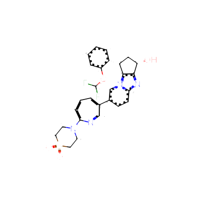 O=S1(=O)CCN(C2=C=CC=C(c3ccc4nc5c(n4c3)[C@H](c3ccccc3OC(F)F)C[C@@H]5O)C=N2)CC1